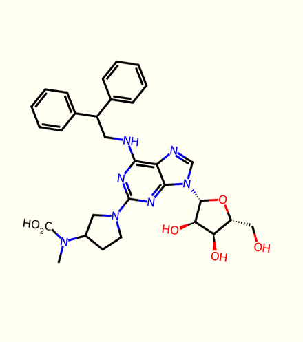 CN(C(=O)O)C1CCN(c2nc(NCC(c3ccccc3)c3ccccc3)c3ncn([C@@H]4O[C@H](CO)[C@@H](O)[C@H]4O)c3n2)C1